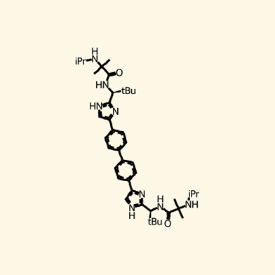 CC(C)NC(C)(C)C(=O)N[C@H](c1nc(-c2ccc(-c3ccc(-c4c[nH]c([C@@H](NC(=O)C(C)(C)NC(C)C)C(C)(C)C)n4)cc3)cc2)c[nH]1)C(C)(C)C